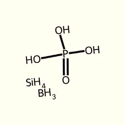 B.O=P(O)(O)O.[SiH4]